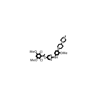 COc1cc(Nc2ncc(OC(C)c3c(Cl)c(OC)cc(OC)c3Cl)cn2)ccc1N1CCC(N2CCN(C)CC2)CC1